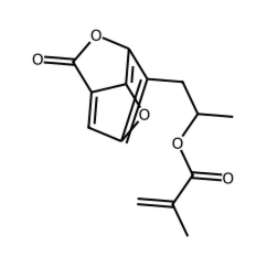 C=C(C)C(=O)OC(C)Cc1c2c3oc1cc3C(=O)O2